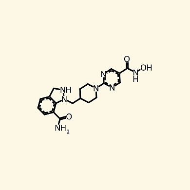 NC(=O)c1cccc2c1N(CC1CCN(c3ncc(C(=O)NO)cn3)CC1)NC2